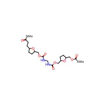 CNC(=O)CCC1CCC(COC(=O)NCNC(=O)OCC2CCC(COC(=O)NC)O2)O1